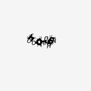 Cc1coc(Oc2ccc(C(=O)N[C@H]3CN4CCC3CC4)cc2)c1